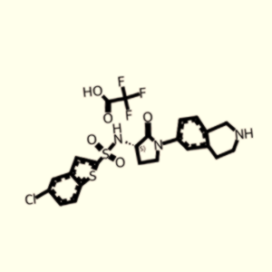 O=C(O)C(F)(F)F.O=C1[C@@H](NS(=O)(=O)c2cc3cc(Cl)ccc3s2)CCN1c1ccc2c(c1)CCNC2